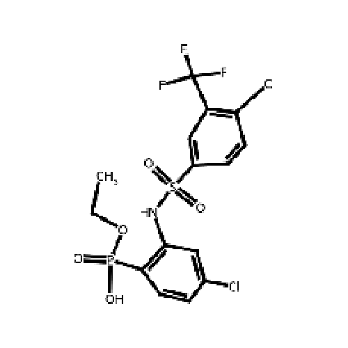 CCOP(=O)(O)c1ccc(Cl)cc1NS(=O)(=O)c1ccc(Cl)c(C(F)(F)F)c1